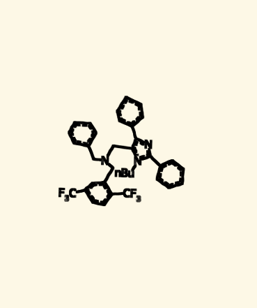 CCCCn1c(-c2ccccc2)nc(-c2ccccc2)c1CN(Cc1ccccc1)Cc1cc(C(F)(F)F)ccc1C(F)(F)F